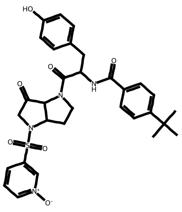 CC(C)(C)c1ccc(C(=O)NC(Cc2ccc(O)cc2)C(=O)N2CCC3C2C(=O)CN3S(=O)(=O)c2ccc[n+]([O-])c2)cc1